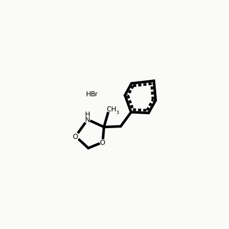 Br.CC1(Cc2ccccc2)NOCO1